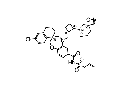 C=CCS(=O)(=O)NC(=O)c1ccc2c(c1)N(C[C@@H]1CC[C@H]1[C@@H]1C[C@@](O)(C=C)CCO1)C[C@@]1(CCCc3cc(Cl)ccc31)CO2